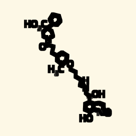 Cc1cc(CCC(=O)N2CCC(C(=O)O)(c3ccccc3)CC2)ccc1OCCCCCNC[C@H](O)c1ccc(O)c2[nH]c(=O)ccc12